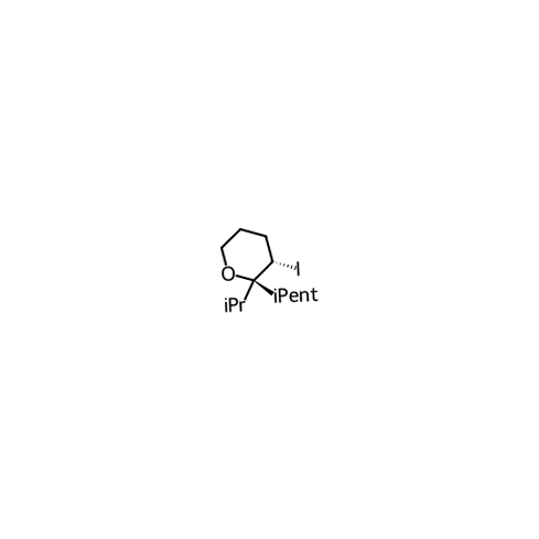 CCCC(C)[C@@]1(C(C)C)OCCC[C@@H]1I